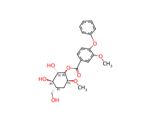 COc1cc(C(=O)O[C@@H]2[C@@H](O)[C@H](O)[C@@H](CO)C[C@@H]2OC)ccc1Oc1ccccc1